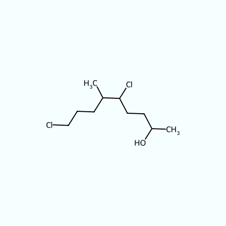 CC(O)CCC(Cl)C(C)CCCCl